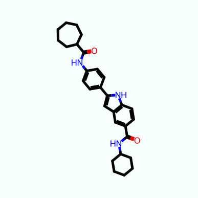 O=C(NC1CCCCC1)c1ccc2[nH]c(-c3ccc(NC(=O)C4CCCCCC4)cc3)cc2c1